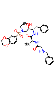 CC(C)CN(C[C@@H](O)[C@H](Cc1ccccc1)NC(=O)C(NC(=O)CNCc1ccccc1)C(C)(C)C)S(=O)(=O)c1ccc2c(c1)OCCO2